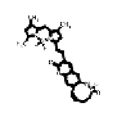 CC1=CC(C)=[N+]2C1=Cc1c(C)cc(/C=C/c3cc4cc5c(cc4oc3=O)C#CCCS(=O)(=O)N5)n1[B-]2(F)F